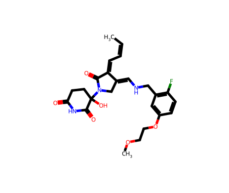 C\C=C/C=C1/C(=O)N(C2(O)CCC(=O)NC2=O)C/C1=C\NCc1cc(OCCOC)ccc1F